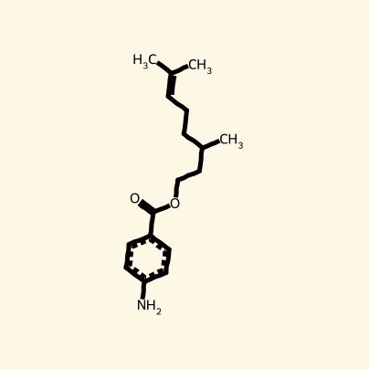 CC(C)=CCCC(C)CCOC(=O)c1ccc(N)cc1